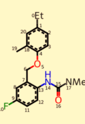 CCc1ccc(OCc2cc(F)ccc2NC(=O)NC)c(C)c1